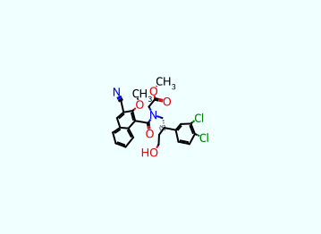 COC(=O)CN(C[C@@H](CCO)c1ccc(Cl)c(Cl)c1)C(=O)c1c(OC)c(C#N)cc2ccccc12